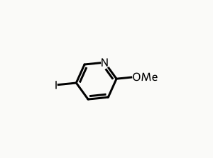 COc1ccc(I)cn1